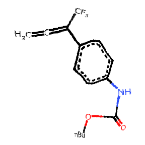 C=C=C(c1ccc(NC(=O)OCCCC)cc1)C(F)(F)F